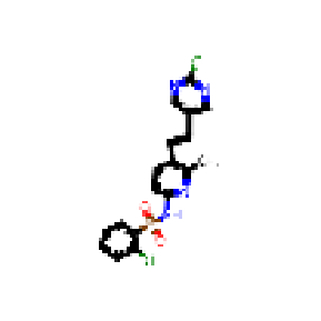 Cc1nc(NS(=O)(=O)c2ccccc2Cl)ccc1C=Cc1cnc(Cl)nc1